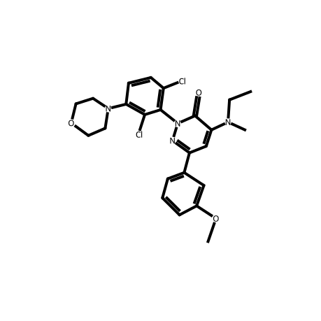 CCN(C)c1cc(-c2cccc(OC)c2)nn(-c2c(Cl)ccc(N3CCOCC3)c2Cl)c1=O